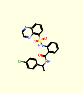 CC(NC(=O)c1ccccc1NS(=O)(=O)c1cccc2nccnc12)c1ccc(Cl)cc1